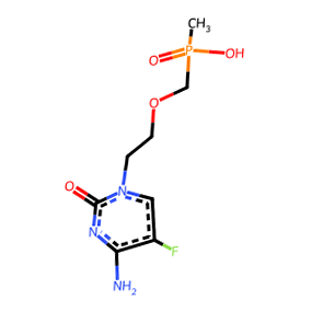 CP(=O)(O)COCCn1cc(F)c(N)nc1=O